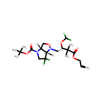 C=CCOC(=O)C(C)(C)[C@H](CN1OC[C@@H]2[C@H]1C(F)(F)CN2C(=O)OC(C)(C)C)OC(F)F